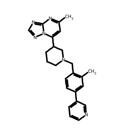 Cc1cc(C2CCCN(Cc3ccc(-c4cccnc4)cc3C)C2)n2ncnc2n1